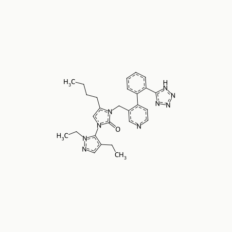 CCCCc1cn(-c2c(CC)cnn2CC)c(=O)n1Cc1cnccc1-c1ccccc1-c1nnn[nH]1